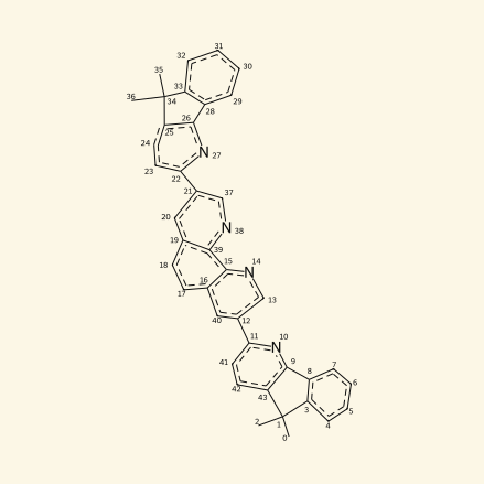 CC1(C)c2ccccc2-c2nc(-c3cnc4c(ccc5cc(-c6ccc7c(n6)-c6ccccc6C7(C)C)cnc54)c3)ccc21